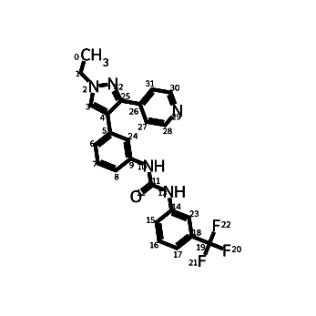 CCn1cc(-c2cccc(NC(=O)Nc3cccc(C(F)(F)F)c3)c2)c(-c2ccncc2)n1